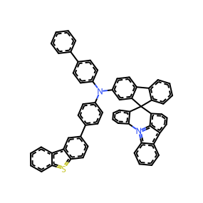 c1ccc(-c2ccc(N(c3ccc(-c4ccc5sc6ccccc6c5c4)cc3)c3ccc4c(c3)C3(c5ccccc5-4)c4ccccc4-n4c5ccccc5c5cccc3c54)cc2)cc1